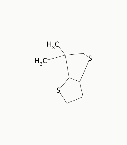 CC1(C)CSC2CCSC21